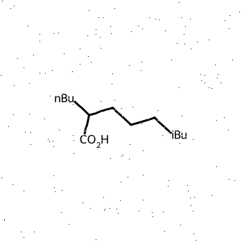 CCCCC(CCCC(C)CC)C(=O)O